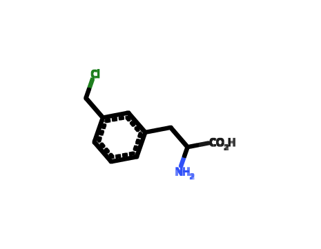 NC(Cc1cccc(CCl)c1)C(=O)O